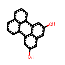 Oc1cc2cc(O)cc3c4cccc5cccc(c(c1)c23)c54